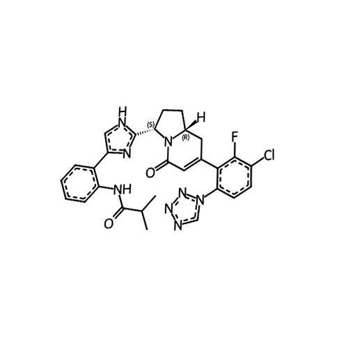 CC(C)C(=O)Nc1ccccc1-c1c[nH]c([C@@H]2CC[C@@H]3CC(c4c(-n5cnnn5)ccc(Cl)c4F)=CC(=O)N32)n1